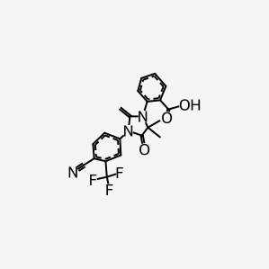 C=C1N(c2ccc(C#N)c(C(F)(F)F)c2)C(=O)C(C)(C)N1c1ccccc1C(=O)O